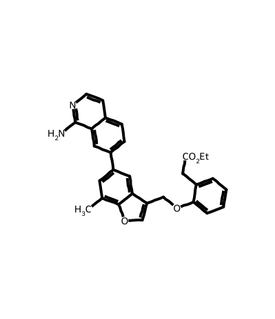 CCOC(=O)Cc1ccccc1OCc1coc2c(C)cc(-c3ccc4ccnc(N)c4c3)cc12